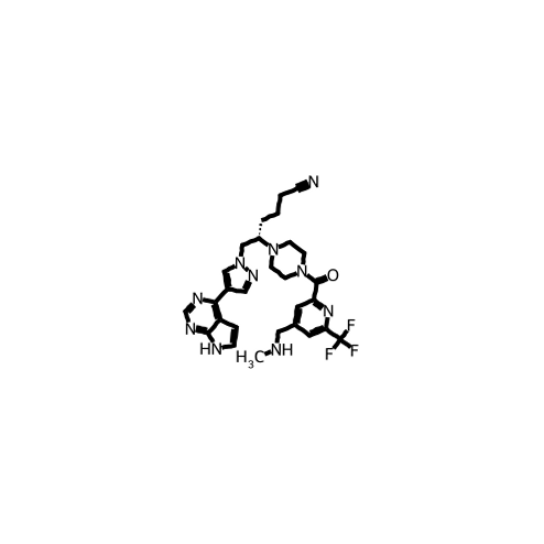 CNCc1cc(C(=O)N2CCN([C@@H](CCCC#N)Cn3cc(-c4ncnc5[nH]ccc45)cn3)CC2)nc(C(F)(F)F)c1